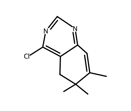 CC1=Cc2ncnc(Cl)c2CC1(C)C